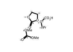 CCCOC(=O)O.COC(=O)OC.O=C1OCCO1